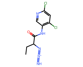 CCC(N=[N+]=N)C(=O)Nc1cnc(Cl)cc1Cl